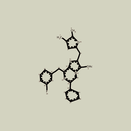 CC(=O)Oc1c(Cc2cc(C)c(C)o2)nc2c(Cc3cccc(F)c3)nc(-c3ccccc3)cn12